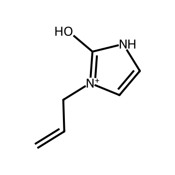 C=CC[n+]1cc[nH]c1O